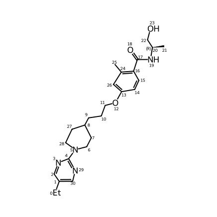 CCc1cnc(N2CCC(CCCOc3ccc(C(=O)N[C@H](C)CO)c(C)c3)CC2)nc1